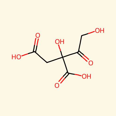 O=C(O)CC(O)(C(=O)O)C(=O)CO